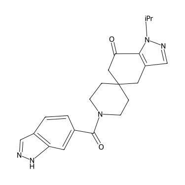 CC(C)n1ncc2c1C(=O)CC1(CCN(C(=O)c3ccc4cn[nH]c4c3)CC1)C2